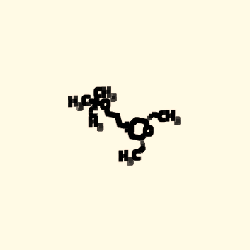 CC[C@@H]1CN(CCCOC(C)(C)C)C[C@H](CC)O1